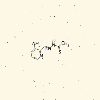 CC(=S)N/N=C/c1ncccc1N